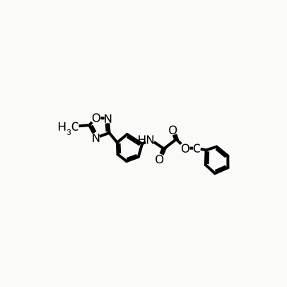 Cc1nc(-c2cccc(NC(=O)C(=O)OCc3ccccc3)c2)no1